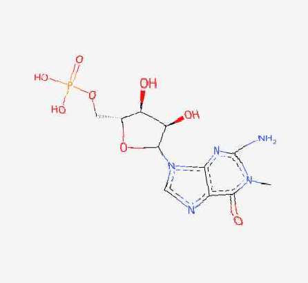 Cn1c(N)nc2c(ncn2C2O[C@H](COP(=O)(O)O)[C@@H](O)[C@H]2O)c1=O